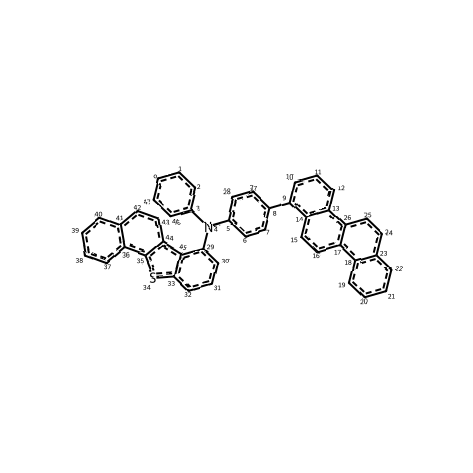 c1ccc(N(c2ccc(-c3cccc4c3ccc3c5ccccc5ccc43)cc2)c2cccc3sc4c5ccccc5ccc4c23)cc1